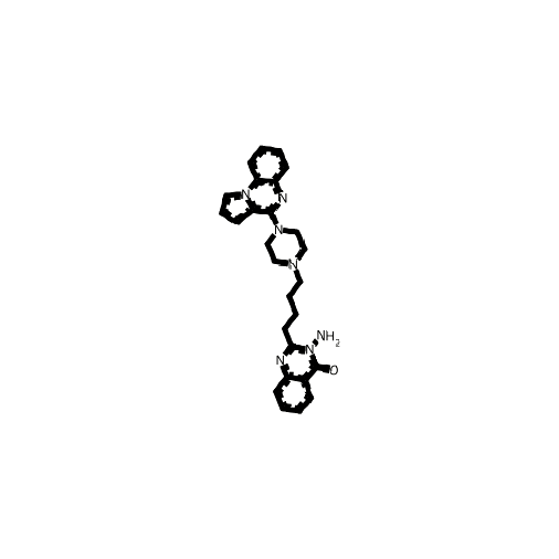 Nn1c(CCCCN2CCN(c3nc4ccccc4n4cccc34)CC2)nc2ccccc2c1=O